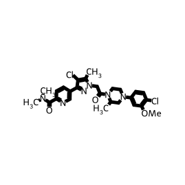 COc1cc(N2CCN(C(=O)Cn3nc(-c4ccc(C(=O)N(C)C)nc4)c(Cl)c3C)C(C)C2)ccc1Cl